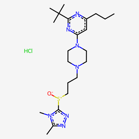 CCCc1cc(N2CCN(CCC[S+]([O-])c3nnc(C)n3C)CC2)nc(C(C)(C)C)n1.Cl